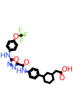 O=C(O)CC1CCCC(c2ccc(NC(=O)c3nnc(Nc4ccc(OC(F)(F)F)cc4)o3)cc2)C1